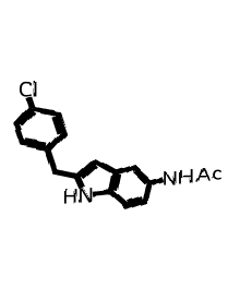 CC(=O)Nc1ccc2[nH]c(Cc3ccc(Cl)cc3)cc2c1